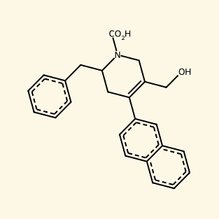 O=C(O)N1CC(CO)=C(c2ccc3ccccc3c2)CC1Cc1ccccc1